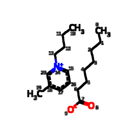 CCCCCCCC(=O)[O-].CCCC[n+]1cccc(C)c1